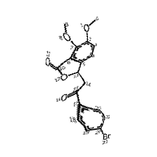 COc1ccc2c(c1OC)C(=O)OC2CC(=O)c1ccc(Br)cc1